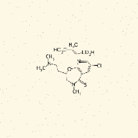 CN(C)CCC1CN(C)C(=S)c2cc(Cl)cnc2O1.O.O=C(O)/C=C/C(=O)O